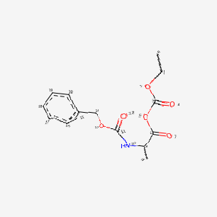 CCOC(=O)OC(=O)C(C)NC(=O)OCc1ccccc1